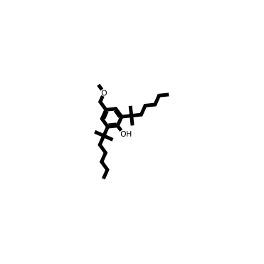 CCCCCC(C)(C)c1cc(COC)cc(C(C)(C)CCCCC)c1O